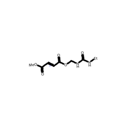 CCNC(=O)NCOC(=O)/C=C/C(=O)OC